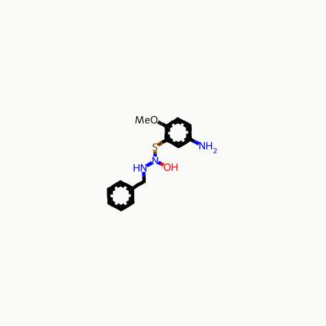 COc1ccc(N)cc1SN(O)NCc1ccccc1